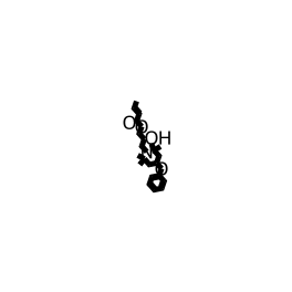 CC=CC(=O)OCC(O)CN1C(C)(C)CC(Oc2ccccc2)CC1(C)C